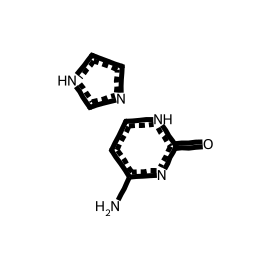 Nc1cc[nH]c(=O)n1.c1c[nH]cn1